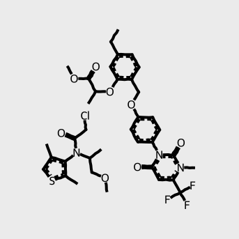 CCc1ccc(COc2ccc(-n3c(=O)cc(C(F)(F)F)n(C)c3=O)cc2)c(OC(C)C(=O)OC)c1.COCC(C)N(C(=O)CCl)c1c(C)csc1C